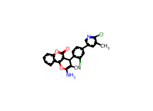 Cc1cc(-c2ccc(C3C(C#N)=C(N)Oc4c3c(=O)oc3ccccc43)c(F)c2)cnc1Cl